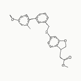 COC(=O)CC1COc2cc(OCc3cccc(-c4ccc(OC)cc4C)c3)ccc21